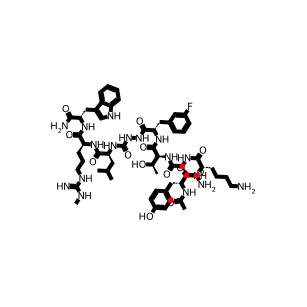 CNC(=N)NCCC[C@H](NC(=O)[C@H](CC(C)C)NC(=O)NNC(=O)[C@H](Cc1cccc(F)c1)NC(=O)[C@@H](NC(=O)[C@H](CC(N)=O)NC(=O)[C@H](CCCCN)NC(=O)[C@@H](Cc1ccc(O)cc1)NC(C)=O)[C@@H](C)O)C(=O)N[C@@H](Cc1c[nH]c2ccccc12)C(N)=O